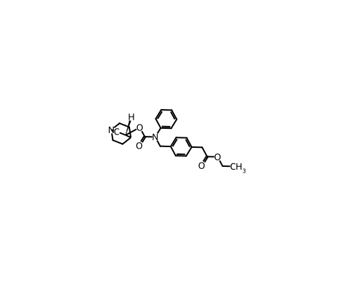 CCOC(=O)Cc1ccc(CN(C(=O)O[C@H]2CN3CCC2CC3)c2ccccc2)cc1